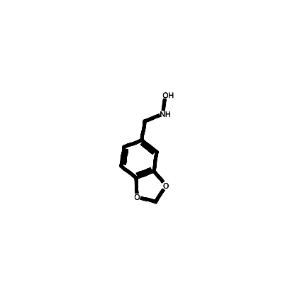 ONCc1ccc2c(c1)OCO2